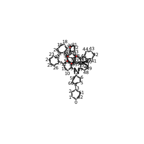 c1ccc(-c2ccc(N(c3ccc4c(c3)C3(c5ccccc5-c5ccccc5-4)c4ccccc4-c4c3ccc3sc5ccccc5c43)c3ccccc3-c3ccccc3)cc2)cc1